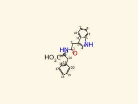 O=C(Cc1c[nH]c2ccccc12)N[C@@H](Cc1ccccc1)C(=O)O